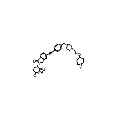 CN1CCC(OCCN2CCN(Cc3ccc(C#Cc4ccc5c(c4)CN(C4CCC(=O)NC4=O)C5=O)cc3)CC2)CC1